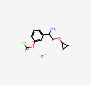 Cl.NC(COC1CC1)c1cccc(OC(F)F)c1